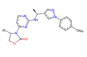 COc1ccc(-n2cc([C@H](C)Nc3nccc(N4C(=O)OCC4C(C)C)n3)cn2)cc1